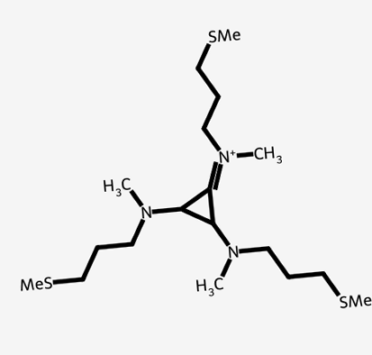 CSCCCN(C)C1C(=[N+](C)CCCSC)C1N(C)CCCSC